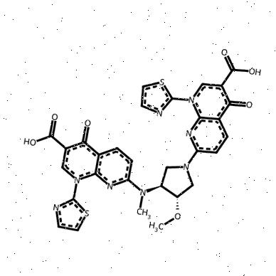 CO[C@H]1CN(c2ccc3c(=O)c(C(=O)O)cn(-c4nccs4)c3n2)C[C@@H]1N(C)c1ccc2c(=O)c(C(=O)O)cn(-c3nccs3)c2n1